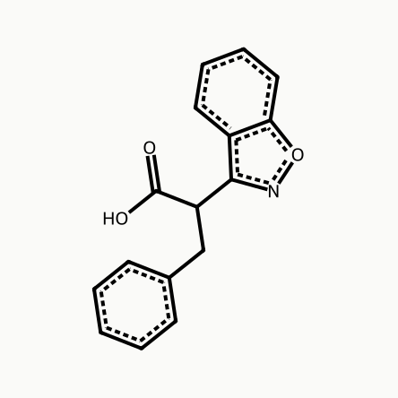 O=C(O)C(Cc1ccccc1)c1noc2ccccc12